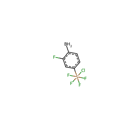 Bc1ccc(S(F)(F)(F)(F)Cl)cc1F